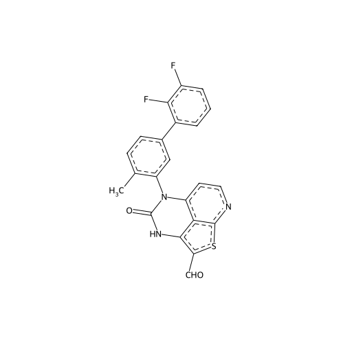 Cc1ccc(-c2cccc(F)c2F)cc1N1C(=O)Nc2c(C=O)sc3nccc1c23